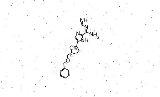 N=C/N=C(/N)c1ncc([C@H]2CC[C@@H](COCc3ccccc3)O2)[nH]1